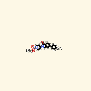 CC(C)(C)OC(=O)N1CCC(N2Cc3cc(-c4ccc(C#N)cc4)ccc3C2=O)CC1